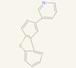 [c]1cc2sc3ccccc3c2cc1-c1cccnc1